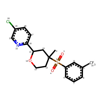 CC1(S(=O)(=O)c2cccc(C(F)(F)F)c2)CCOC(c2ccc(Cl)cn2)C1